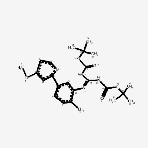 COc1ccnc(-c2ccc(C)c(N=C(NC(=O)OC(C)(C)C)NC(=O)OC(C)(C)C)c2)c1